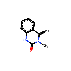 C=C1c2ccccc2NC(=O)N1C